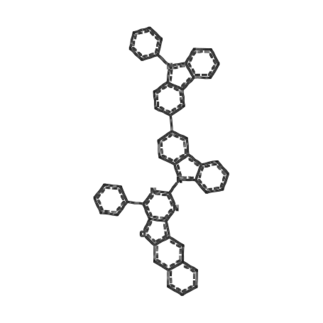 c1ccc(-c2nc(-n3c4ccccc4c4cc(-c5ccc6c(c5)c5ccccc5n6-c5ccccc5)ccc43)nc3c2oc2cc4ccccc4cc23)cc1